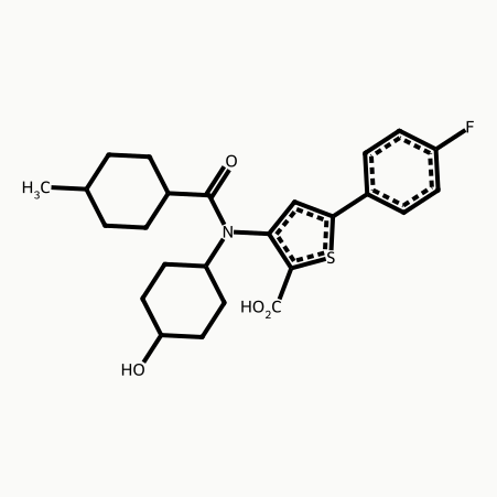 CC1CCC(C(=O)N(c2cc(-c3ccc(F)cc3)sc2C(=O)O)C2CCC(O)CC2)CC1